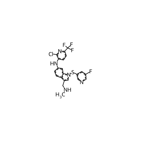 CNCc1cn(Sc2cncc(F)c2)c2cc(Nc3ccc(C(F)(F)F)nc3Cl)ccc12